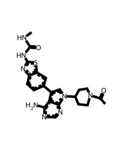 CNC(=O)Nc1nc2ccc(-c3cn(C4CCN(C(C)=O)CC4)c4ncnc(N)c34)cc2s1